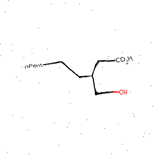 CCCCCCC[C@H](CO)CC(=O)O